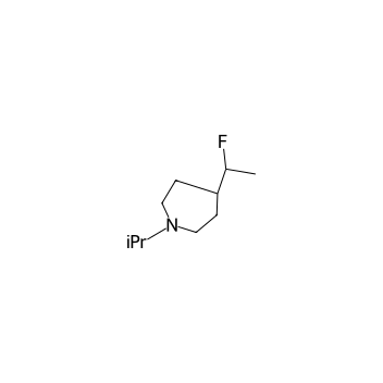 CC(F)C1CCN(C(C)C)CC1